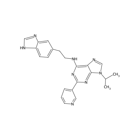 CC(C)n1cnc2c(NCCc3ccc4[nH]cnc4c3)nc(-c3cccnc3)nc21